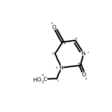 O=C(O)CN1CC(=O)C=NC1=O